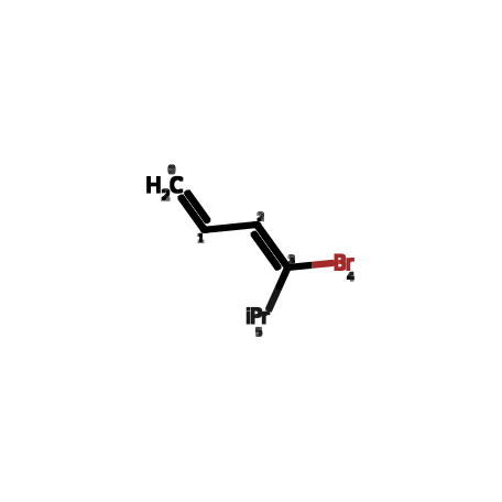 C=C/C=C(/Br)C(C)C